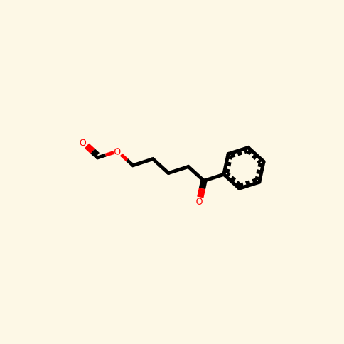 O=COCCCCC(=O)c1ccccc1